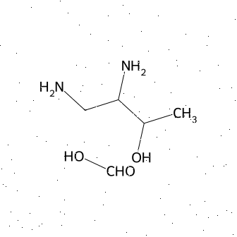 CC(O)C(N)CN.O=CO